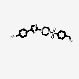 CCCc1ccc(-c2csc(N3CCN(S(=O)(=O)c4ccc(CBr)cc4)CC3)n2)cc1